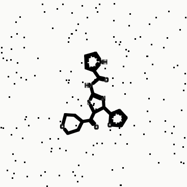 O=C(NC1=NC(c2ccco2)C(C(=O)C2CCOCC2)S1)c1ccc[nH]1